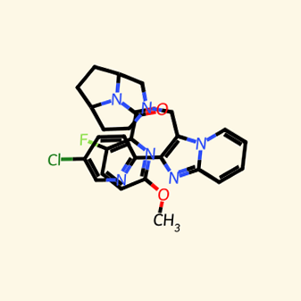 COc1ccc(F)c(C(=O)N2C3CCC2CN(Cc2c(-c4ccc(Cl)cn4)nc4ccccn24)CC3)n1